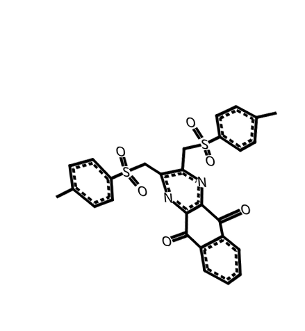 Cc1ccc(S(=O)(=O)Cc2nc3c(nc2CS(=O)(=O)c2ccc(C)cc2)C(=O)c2ccccc2C3=O)cc1